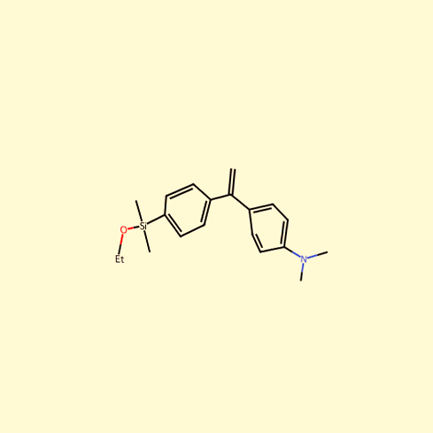 C=C(c1ccc(N(C)C)cc1)c1ccc([Si](C)(C)OCC)cc1